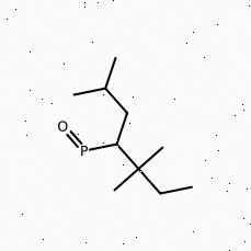 CCC(C)(C)C(CC(C)C)P=O